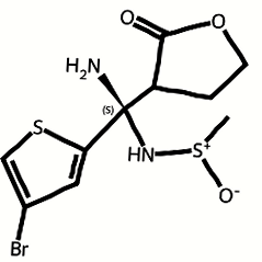 C[S+]([O-])N[C@](N)(c1cc(Br)cs1)C1CCOC1=O